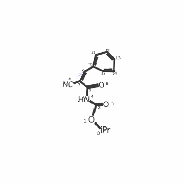 CC(C)OC(=O)NC(=O)/C(C#N)=C\c1ccccc1